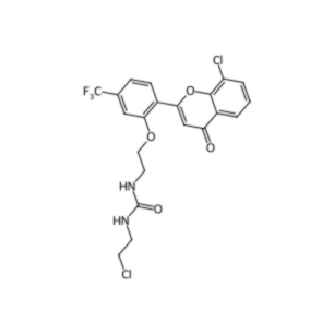 O=C(NCCCl)NCCOc1cc(C(F)(F)F)ccc1-c1cc(=O)c2cccc(Cl)c2o1